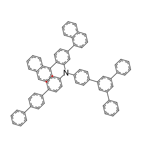 c1ccc(-c2ccc(-c3ccc(N(c4ccc(-c5cc(-c6ccccc6)cc(-c6ccccc6)c5)cc4)c4cc(-c5cccc6ccccc56)ccc4-c4cccc5ccccc45)cc3)cc2)cc1